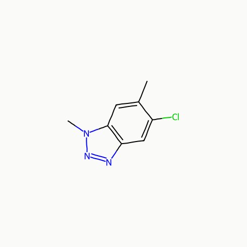 Cc1cc2c(cc1Cl)nnn2C